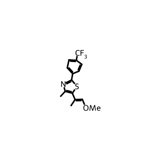 COC=C(C)c1sc(-c2ccc(C(F)(F)F)cc2)nc1C